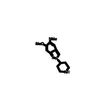 CNc1cc2cn(C3CCNCC3)nc2cc1OC